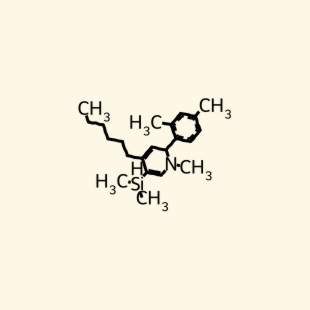 CCCCCCC1=CC(c2ccc(C)cc2C)N(C)C=C1[SiH](C)C